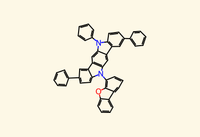 c1ccc(-c2ccc3c(c2)c2cc4c(cc2n3-c2ccccc2)c2cc(-c3ccccc3)ccc2n4-c2cccc3c2oc2ccccc23)cc1